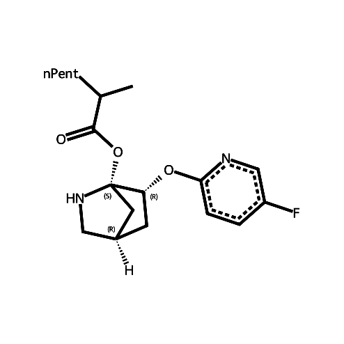 CCCCCC(C)C(=O)O[C@]12C[C@H](CN1)C[C@H]2Oc1ccc(F)cn1